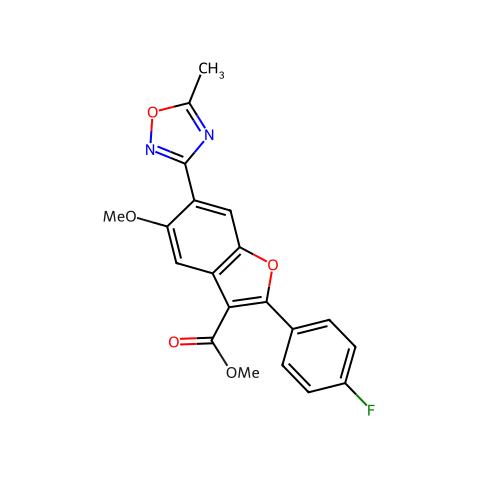 COC(=O)c1c(-c2ccc(F)cc2)oc2cc(-c3noc(C)n3)c(OC)cc12